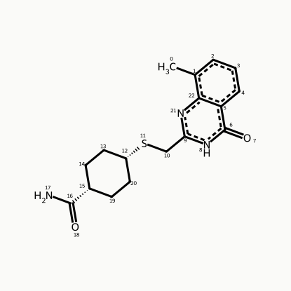 Cc1cccc2c(=O)[nH]c(CS[C@H]3CC[C@@H](C(N)=O)CC3)nc12